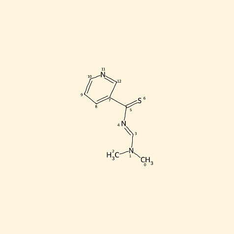 CN(C)C=NC(=S)c1cccnc1